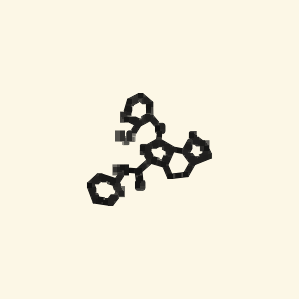 Cc1ncccc1Oc1sc(C(=O)Nc2ccccn2)c2c1-c1sncc1CC2